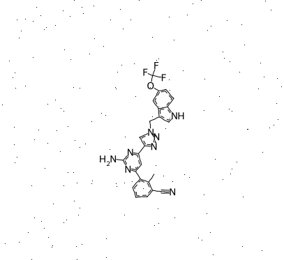 Cc1c(C#N)cccc1-c1cc(-c2cn(Cc3c[nH]c4ccc(OC(F)(F)F)cc34)nn2)nc(N)n1